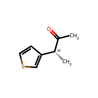 CC(=O)[C@H](C)c1ccsc1